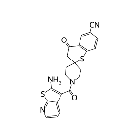 N#Cc1ccc2c(c1)C(=O)CC1(CCN(C(=O)c3c(N)sc4ncccc34)CC1)S2